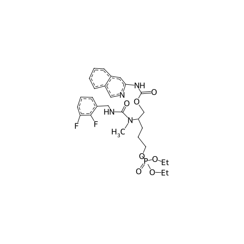 CCOP(=O)(OCC)OCCCC(COC(=O)Nc1cc2ccccc2cn1)N(C)C(=O)NCc1cccc(F)c1F